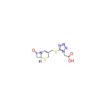 O=C(O)Cn1nnnc1SCC1=CN2C(=O)C[C@@H]2SC1